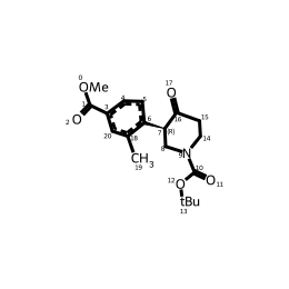 COC(=O)c1ccc([C@@H]2CN(C(=O)OC(C)(C)C)CCC2=O)c(C)c1